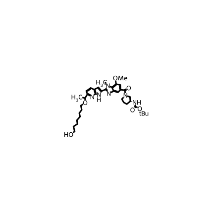 COc1cc(C(=O)N2CCC[C@@H](NC(=O)OC(C)(C)C)C2)cc2nc(-c3cc4ccc(C(C)OCCCCCCCCO)nc4[nH]3)n(C)c12